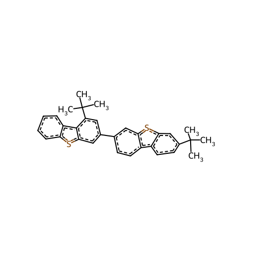 CC(C)(C)c1ccc2c(c1)sc1cc(-c3cc(C(C)(C)C)c4c(c3)sc3ccccc34)ccc12